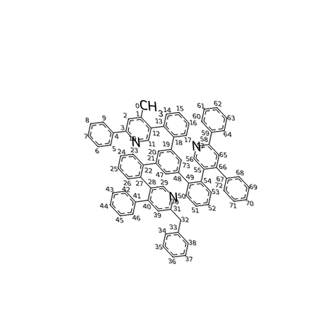 Cc1cc(-c2ccccc2)ncc1-c1ccccc1-c1cc(-c2ccccc2-c2cnc(Cc3ccccc3)cc2-c2ccccc2)cc(-c2ccccc2-c2cnc(-c3ccccc3)cc2-c2ccccc2)c1